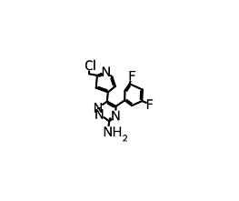 Nc1nnc(-c2ccnc(CCl)c2)c(-c2cc(F)cc(F)c2)n1